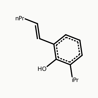 CCCC=Cc1cccc(C(C)C)c1O